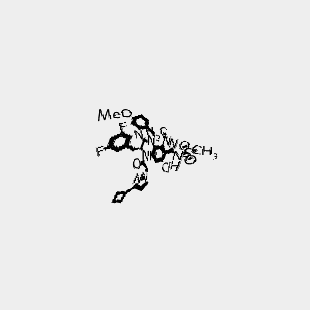 COc1ccc2c(c1)N=C([C@H](Cc1cc(F)cc(F)c1)NC(=O)Cn1ccc(C3CCC3)n1)N(c1ccc(Cl)c3c(NS(C)(=O)=O)nn(C)c13)C2